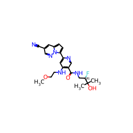 COCCNc1cc(-c2ccc3cc(C#N)cnn23)ncc1C(=O)NC[C@@H](F)C(C)(C)O